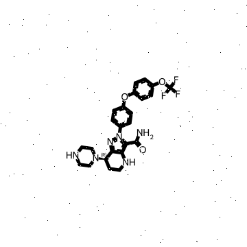 NC(=O)c1c2c(nn1-c1ccc(Oc3ccc(OC(F)(F)F)cc3)cc1)[C@H](N1CCNCC1)CCN2